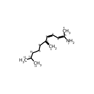 C=C(/C=C\C=C(/C)N)CCCC(C)C